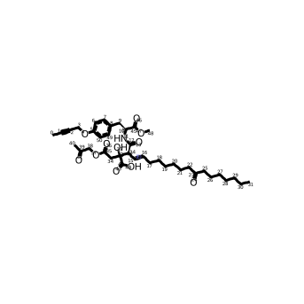 CC#CCOc1ccc(C[C@H](NC(=O)[C@@H](/C=C/CCCCCCC(=O)CCCCCCC)[C@@](O)(CC(=O)OCC(C)=O)C(=O)O)C(=O)OC)cc1